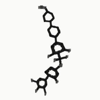 CCCCCCC1CCC(C2CCC(c3cc(F)c(C(F)(F)Oc4ccc(-c5cc(F)c(F)c(F)c5)c(F)c4)c(F)c3)CC2)CC1